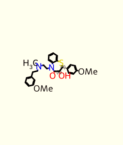 COc1ccc([C@H]2Sc3ccccc3N(CCN(C)CCc3cccc(OC)c3)C(=O)[C@H]2O)cc1